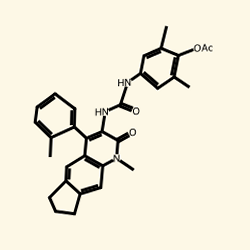 CC(=O)Oc1c(C)cc(NC(=O)Nc2c(-c3ccccc3C)c3cc4c(cc3n(C)c2=O)CCC4)cc1C